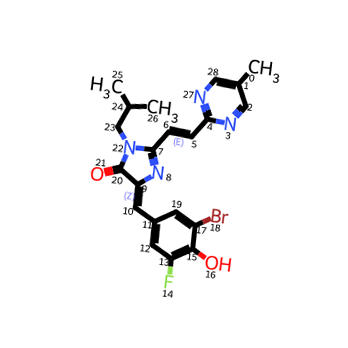 Cc1cnc(/C=C/C2=NC(=C\c3cc(F)c(O)c(Br)c3)/C(=O)N2CC(C)C)nc1